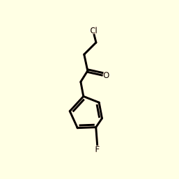 O=C(CCCl)Cc1ccc(F)cc1